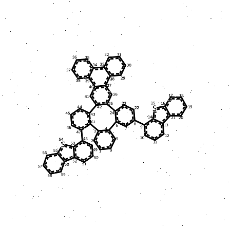 c1ccc2c(c1)-c1cc(-c3cccc4c3sc3ccccc34)ccc1-c1cc3c4ccccc4c4ccccc4c3cc1-c1cccc(-c3cccc4c3sc3ccccc34)c1-2